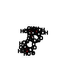 O=C1OC2C3COC(=O)c4cc(O)c(O)c(O)c4-c4c(cc(O)c(O)c4O)C(=O)OC2C(OC(=O)c2cc(O)c(O)c4c2C2C1=CC(=O)C(O)(O4)C2(O)O)C(OC(=O)c1cc(O)c(O)c(O)c1)O3